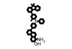 Cc1cc(-c2cccc3c2-c2ccccc2C3(C)C)ccc1N(c1ccccc1)c1ccc(-c2cccc3c2ccc2c(N)c(O)ccc23)cc1